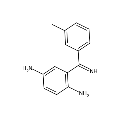 Cc1cccc(C(=N)c2cc(N)ccc2N)c1